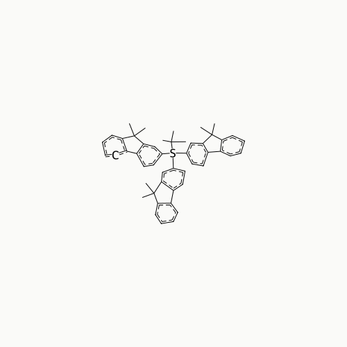 CC1(C)c2ccccc2-c2ccc(S(c3ccc4c(c3)C(C)(C)c3ccccc3-4)(c3ccc4c(c3)C(C)(C)c3ccccc3-4)C(C)(C)C)cc21